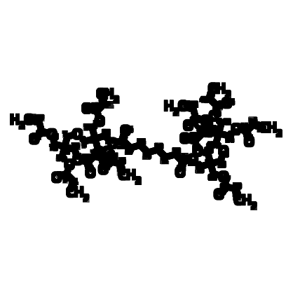 C=CC(=O)OCC(COCC(COC(=O)C=C)(COC(=O)C=C)COC(=O)CCCCCCC(=O)OCC(COCC(COC(=O)C=C)(COC(=O)C=C)COC(=O)C=C)(COC(=O)C=C)COC(=O)C=C)(COC(=O)C=C)COC(=O)C=C